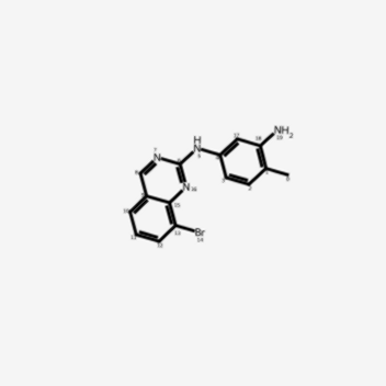 Cc1ccc(Nc2ncc3cccc(Br)c3n2)cc1N